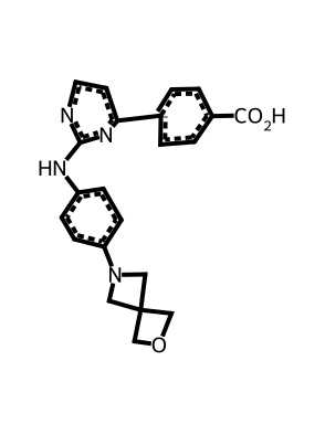 O=C(O)c1ccc(-c2ccnc(Nc3ccc(N4CC5(COC5)C4)cc3)n2)cc1